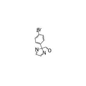 O=CC1(c2ccc(Br)cc2)N=CC=N1